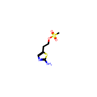 CS(=O)(=O)OCCc1cnc(N)s1